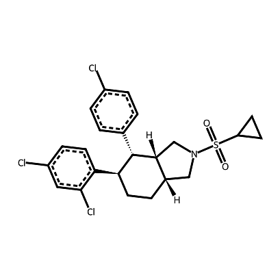 O=S(=O)(C1CC1)N1C[C@@H]2CC[C@@H](c3ccc(Cl)cc3Cl)[C@H](c3ccc(Cl)cc3)[C@@H]2C1